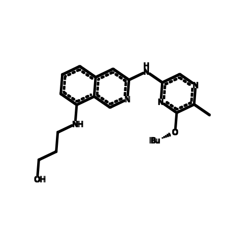 CC[C@@H](C)Oc1nc(Nc2cc3cccc(NCCCO)c3cn2)cnc1C